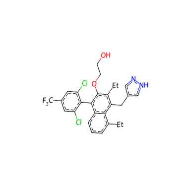 CCc1c(OCCO)c(-c2c(Cl)cc(C(F)(F)F)cc2Cl)c2cccc(CC)c2c1Cc1cn[nH]c1